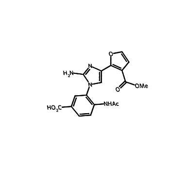 COC(=O)c1ccoc1-c1cn(-c2cc(C(=O)O)ccc2NC(C)=O)c(N)n1